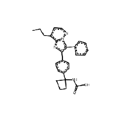 CCCc1ccnn2c(-c3ccccc3)c(-c3ccc(C4(NC(=O)O)CCC4)cc3)nc12